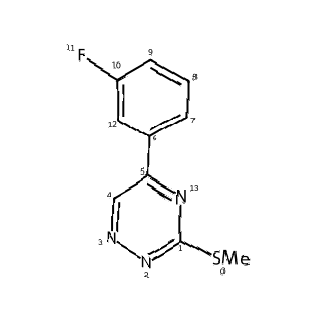 CSc1nncc(-c2cccc(F)c2)n1